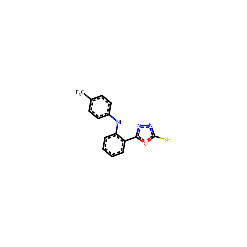 FC(F)(F)c1ccc(Nc2ccccc2-c2nnc(S)o2)cc1